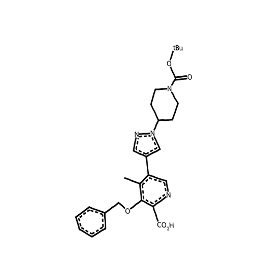 Cc1c(-c2cnn(C3CCN(C(=O)OC(C)(C)C)CC3)c2)cnc(C(=O)O)c1OCc1ccccc1